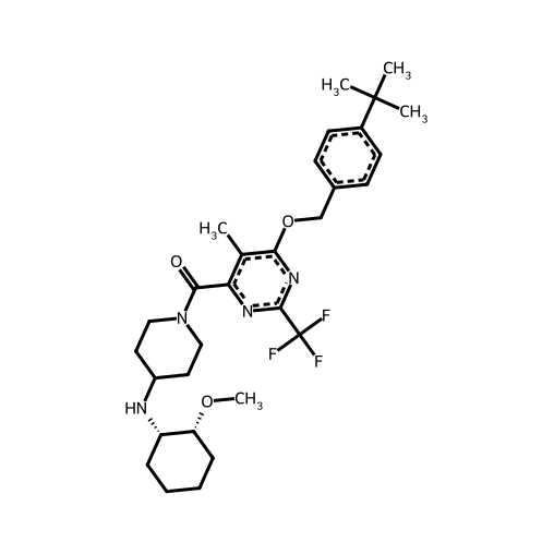 CO[C@@H]1CCCC[C@@H]1NC1CCN(C(=O)c2nc(C(F)(F)F)nc(OCc3ccc(C(C)(C)C)cc3)c2C)CC1